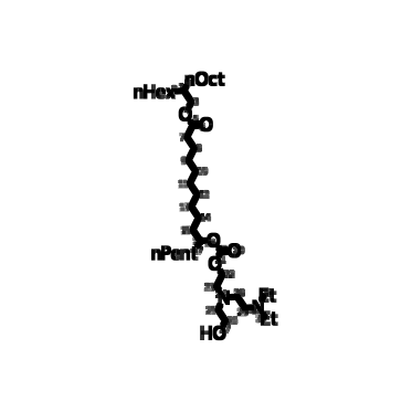 CCCCCCCCC(CCCCCC)COC(=O)CCCCCCCCCC(CCCCC)OC(=O)OCCN(CCO)CCN(CC)CC